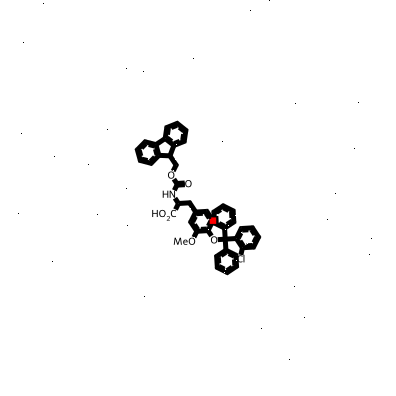 COc1cc(CC(NC(=O)OCC2c3ccccc3-c3ccccc32)C(=O)O)ccc1OC(c1ccccc1)(c1ccccc1)c1ccccc1Cl